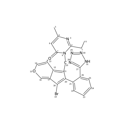 CCc1nc(C)cc(=O)n1Cc1c2ccocc-2c(Br)c1-c1ccccc1-c1nnn[nH]1